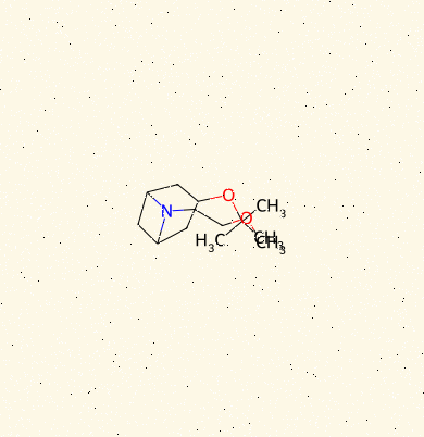 COCCN1C2CC(OC(C)(C)C)CC1C2